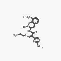 NCCON=C(C(=O)NC1Cc2cccc(C(=O)O)c2OB1O)c1csc(N)n1